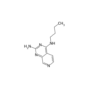 CCCCNc1nc(N)nc2cnccc12